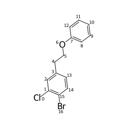 Clc1cc(CCOc2ccccc2)ccc1Br